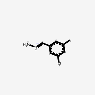 Cc1cc(Cl)cc(/C=N/N)c1